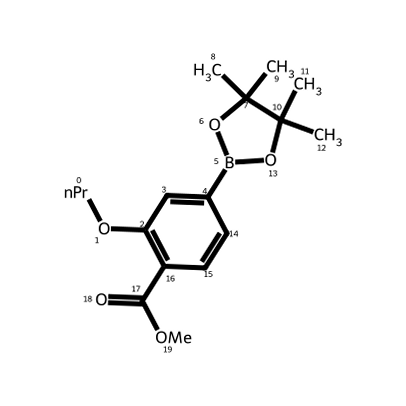 CCCOc1cc(B2OC(C)(C)C(C)(C)O2)ccc1C(=O)OC